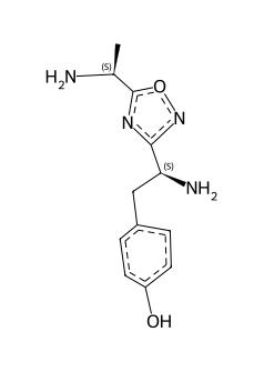 C[C@H](N)c1nc([C@@H](N)Cc2ccc(O)cc2)no1